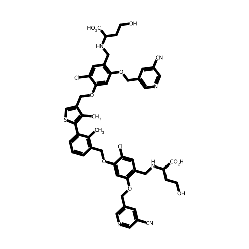 Cc1c(COc2cc(OCc3cncc(C#N)c3)c(CNC(CCO)C(=O)O)cc2Cl)cccc1-c1scc(COc2cc(OCc3cncc(C#N)c3)c(CNC(CCO)C(=O)O)cc2Cl)c1C